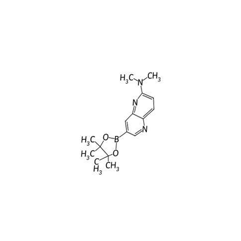 CN(C)c1ccc2ncc(B3OC(C)(C)C(C)(C)O3)cc2n1